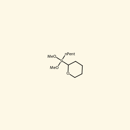 CCCCC[Si](OC)(OC)C1CCCCO1